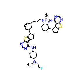 CN(CCCc1cccc(C2CCc3c2sc2ncnc(N[C@H]4CC[C@H](N(C)CCF)CC4)c32)c1)[C@H]1CCCC(C2CCc3sc4ncnc(N)c4c32)C1